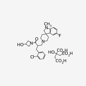 CN1CC2(CCN(CC(Cc3ccccc3Cl)C(=O)N3CC(O)C3)CC2)c2cc(F)ccc21.O=C(O)CC(O)(CC(=O)O)C(=O)O